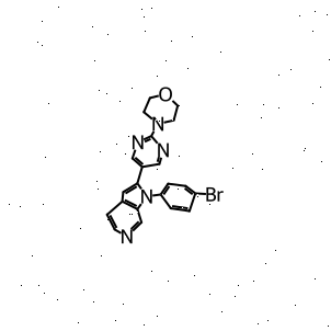 Brc1ccc(-n2c(-c3cnc(N4CCOCC4)nc3)cc3ccncc32)cc1